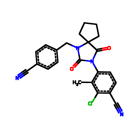 Cc1c(N2C(=O)N(Cc3ccc(C#N)cc3)C3(CCCC3)C2=O)ccc(C#N)c1Cl